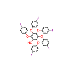 Oc1c(Oc2ccc(I)cc2)c(Oc2ccc(I)cc2)c(Oc2ccc(I)cc2)c(Oc2ccc(I)cc2)c1Oc1ccc(I)cc1